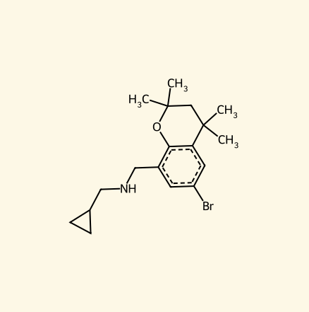 CC1(C)CC(C)(C)c2cc(Br)cc(CNCC3CC3)c2O1